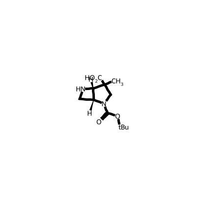 CC(C)(C)OC(=O)N1CC(C)(C(=O)O)[C@H]2NC[C@H]21